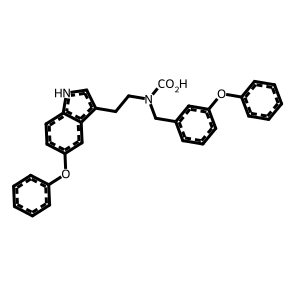 O=C(O)N(CCc1c[nH]c2ccc(Oc3ccccc3)cc12)Cc1cccc(Oc2ccccc2)c1